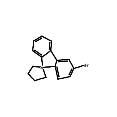 CC(C)c1ccc2c(c1)-c1ccccc1[Si]21CCCC1